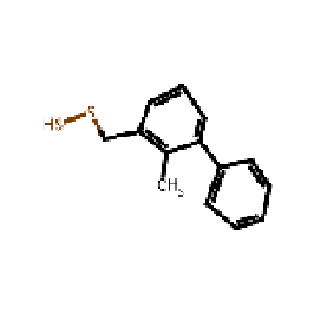 Cc1c(CSS)cccc1-c1ccccc1